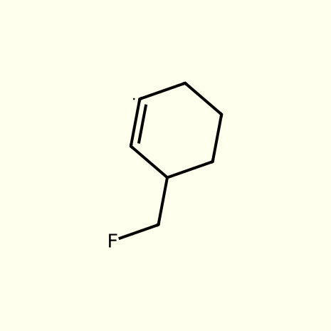 FCC1C=[C]CCC1